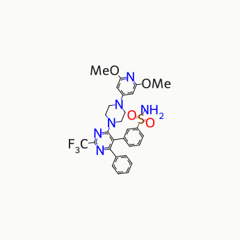 COc1cc(N2CCN(c3nc(C(F)(F)F)nc(-c4ccccc4)c3-c3cccc(S(N)(=O)=O)c3)CC2)cc(OC)n1